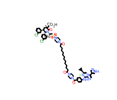 CC(C)(C)[C@@H](CS(=O)(=O)N1CCN(C(=O)CCCCCCCCCCCCC(=O)N2CCN(C(=O)c3ccc(Nc4nc(C5CC5)cn5c(-c6cn[nH]c6)cnc45)c(F)c3)CC2)CC1)N1C(=O)[C@@](C)(CC(=O)O)C[C@H](c2cccc(Cl)c2)[C@H]1c1ccc(Cl)cc1